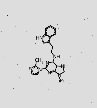 Cc1nccn1C1=NC(NCCc2c[nH]c3ccccc23)C2NCN(C(C)C)C2=N1